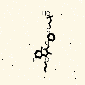 CCCCOc1c(C)c(COc2cccc(OCCCC(C)(C)O)c2)nc2ccc(F)cc12